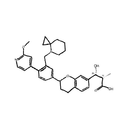 COc1cc(-c2ccc(C3CCc4ccc([C@H](O)[C@H](C)C(=O)O)cc4O3)cc2CN2CCCCC23CC3)ccn1